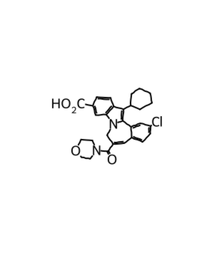 O=C(O)c1ccc2c(C3CCCCC3)c3n(c2c1)CC(C(=O)N1CCOCC1)=Cc1ccc(Cl)cc1-3